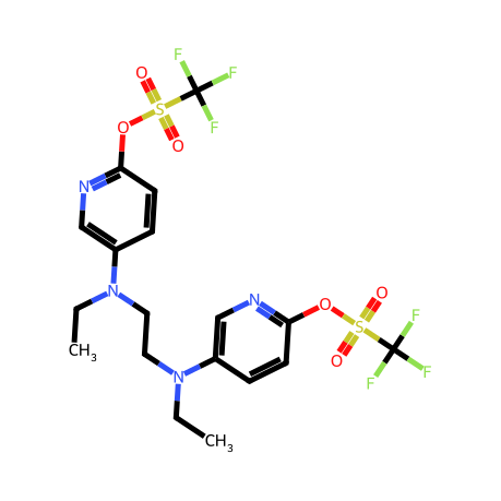 CCN(CCN(CC)c1ccc(OS(=O)(=O)C(F)(F)F)nc1)c1ccc(OS(=O)(=O)C(F)(F)F)nc1